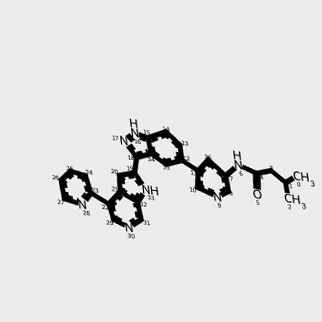 CC(C)CC(=O)Nc1cncc(-c2ccc3[nH]nc(-c4cc5c(-c6ccccn6)cncc5[nH]4)c3c2)c1